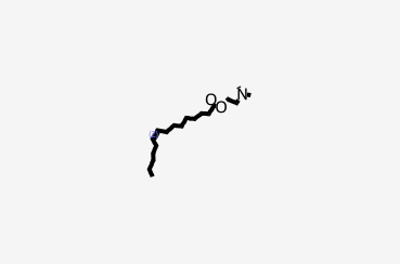 CCCCC/C=C\CCCCCCCC(=O)OCCN(C)C